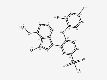 COc1nccc2c(-c3cc(S(C)(=O)=O)ccc3Oc3ccc(F)cc3F)cn(C)c12